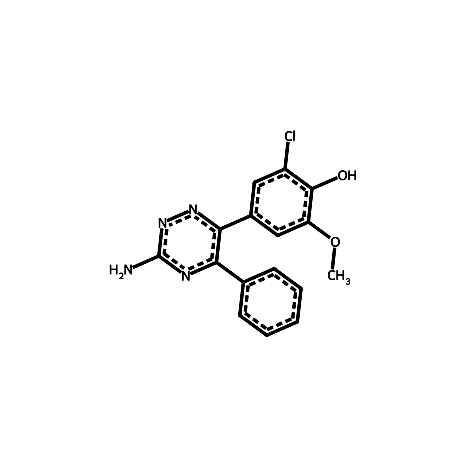 COc1cc(-c2nnc(N)nc2-c2ccccc2)cc(Cl)c1O